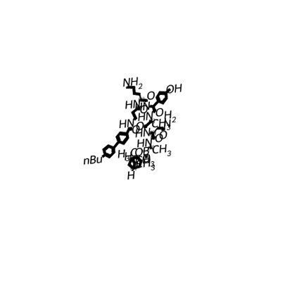 CCCCc1ccc(-c2ccc(C(=O)NCCC(=O)N[C@@H](CCCCN)C(=O)NC(C(=O)N[C@@H](C)C(=O)N[C@@H](CC(N)=O)C(=O)N[C@@H](C)B3OC4C[C@@H]5C[C@@H](C5(C)C)[C@]4(C)O3)c3ccc(O)cc3)cc2)cc1